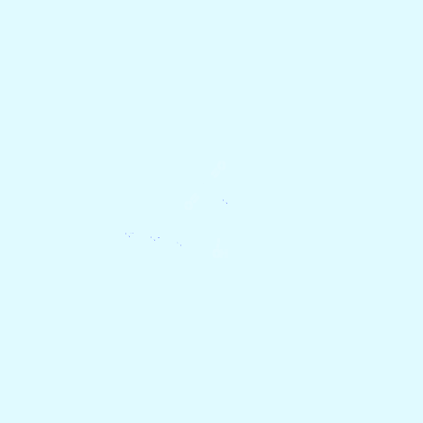 CS(=O)(=O)NC(O)(CN=[N+]=[N-])c1ccccc1